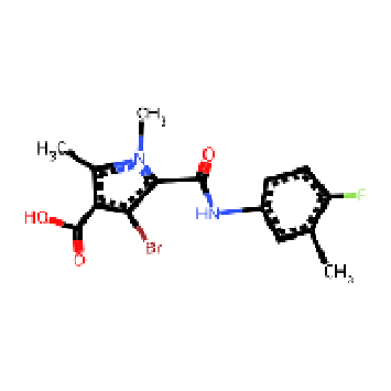 Cc1cc(NC(=O)c2c(Br)c(C(=O)O)c(C)n2C)ccc1F